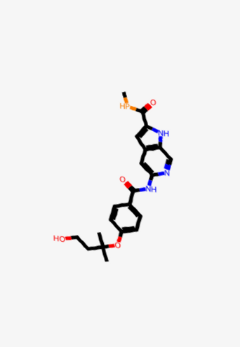 CPC(=O)c1cc2cc(NC(=O)c3ccc(OC(C)(C)CCO)cc3)ncc2[nH]1